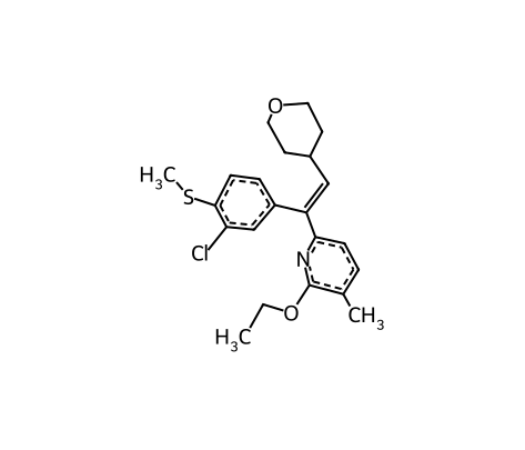 CCOc1nc(C(=CC2CCOCC2)c2ccc(SC)c(Cl)c2)ccc1C